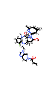 C=CC(=O)N1CCc2ncn(CCN3C[C@H]4CC(=O)N(c5cc(C(F)(F)F)cc(C)n5)[C@@H]4C(=O)N(C)c4cccc(F)c43)c2C1